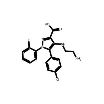 NCCNc1c(C(=O)O)nn(-c2ccccc2Cl)c1-c1ccc(Cl)cc1